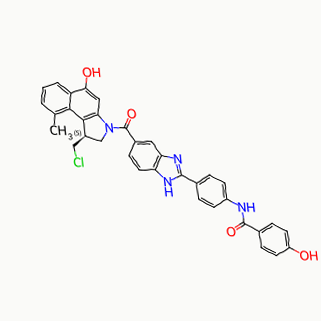 Cc1cccc2c(O)cc3c(c12)[C@H](CCl)CN3C(=O)c1ccc2[nH]c(-c3ccc(NC(=O)c4ccc(O)cc4)cc3)nc2c1